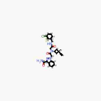 C#C[C@]1(C)C[C@@H](N(CC(=O)NCc2cccc(Cl)c2F)C(=O)Cn2nc(C(N)=O)c3ccccc32)C1